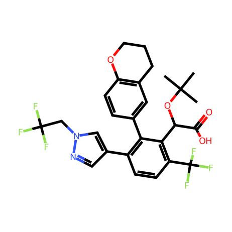 CC(C)(C)OC(C(=O)O)c1c(C(F)(F)F)ccc(-c2cnn(CC(F)(F)F)c2)c1-c1ccc2c(c1)CCCO2